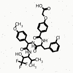 COc1ccc(C(NC(=O)C(Cc2cccc(Cl)c2)NC(=O)c2ccc(OCC(=O)O)cc2)C(=O)NC(C(C)C)C(O)C(F)(F)F)cc1